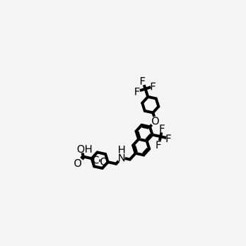 O=C(O)C12CCC(CNCc3ccc4c(C(F)(F)F)c(OC5CCC(C(F)(F)F)CC5)ccc4c3)(CC1)CC2